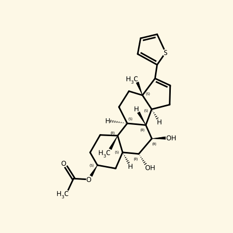 CC(=O)O[C@H]1CC[C@@]2(C)[C@H](C1)[C@@H](O)[C@H](O)[C@@H]1[C@@H]2CC[C@]2(C)C(c3cccs3)=CC[C@@H]12